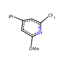 COc1cc(C(C)C)cc(C(F)(F)F)n1